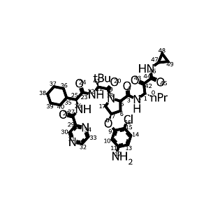 CCC[C@H](NC(=O)C1C[C@@H](Oc2cc(N)ccc2Cl)CN1C(=O)[C@@H](NC(=O)[C@@H](NC(=O)c1cnccn1)C1CCCCC1)C(C)(C)C)C(=O)C(=O)NC1CC1